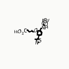 Cc1ncsc1-c1ccc(CNC(=O)OC(C)(C)C)c(OCCCCC(=O)O)c1